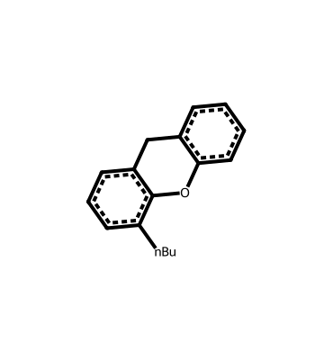 CCCCc1cccc2c1Oc1ccccc1C2